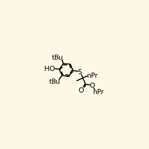 CCCOC(=O)C(C)(CCC)Sc1cc(C(C)(C)C)c(O)c(C(C)(C)C)c1